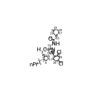 CCC/C=C/c1ccc(-c2c(C)c(CNC(=O)Cc3ccccc3)nn2-c2ccc(Cl)cc2Cl)s1